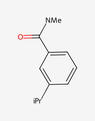 CNC(=O)c1cccc(C(C)C)c1